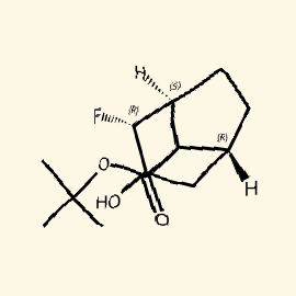 CC(C)(C)OC(=O)C1[C@@H]2CC[C@@H]1[C@@H](F)C(O)C2